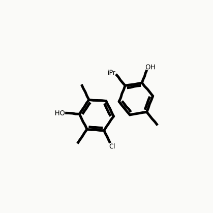 Cc1ccc(C(C)C)c(O)c1.Cc1ccc(Cl)c(C)c1O